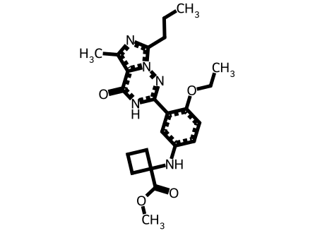 CCCc1nc(C)c2c(=O)[nH]c(-c3cc(NC4(C(=O)OC)CCC4)ccc3OCC)nn12